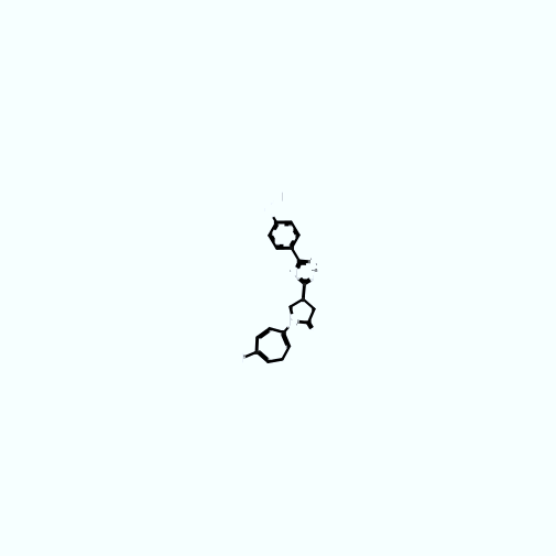 O=C1CC(c2nc(-c3ccc(OC(F)(F)F)cc3)no2)CN1C1=CCC=C(Cl)C=C1